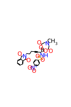 CN1CC(=O)OB(C(C#CCCCN2C(=O)c3ccccc3C2=O)NS(=O)(=O)c2ccc([N+](=O)[O-])cc2)OC(=O)C1